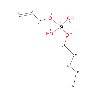 C=CCO[Si](O)(O)OCCCCC